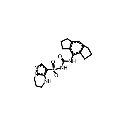 O=C(Nc1c2c(cc3c1CCC3)CCC2)NS(=O)(=O)c1cnn2c1NCCC2